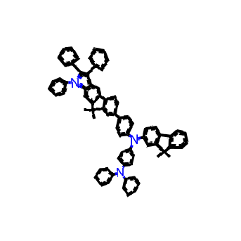 CC1(C)c2ccccc2-c2ccc(N(c3ccc(-c4ccc5c(c4)C(C)(C)c4cc6c(cc4-5)c(-c4ccccc4)c(-c4ccccc4)n6-c4ccccc4)cc3)c3ccc(N(c4ccccc4)c4ccccc4)cc3)cc21